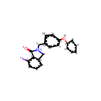 O=C1c2c(I)cccc2CN1Cc1ccc(Oc2ccccc2)cc1